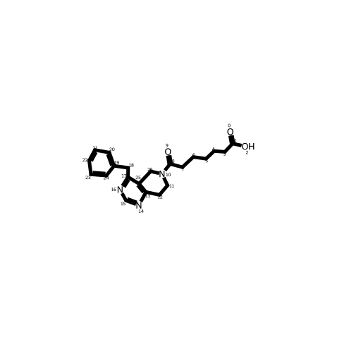 O=C(O)CCCCCC(=O)N1CCc2ncnc(Cc3ccccc3)c2C1